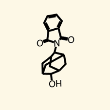 O=C1c2ccccc2C(=O)N1C1C2CC3CC1CC(C2)C3O